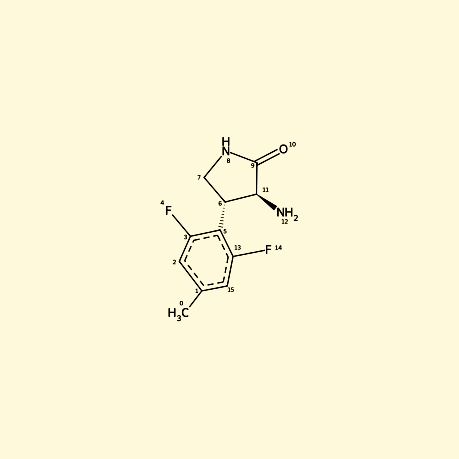 Cc1cc(F)c([C@@H]2CNC(=O)[C@H]2N)c(F)c1